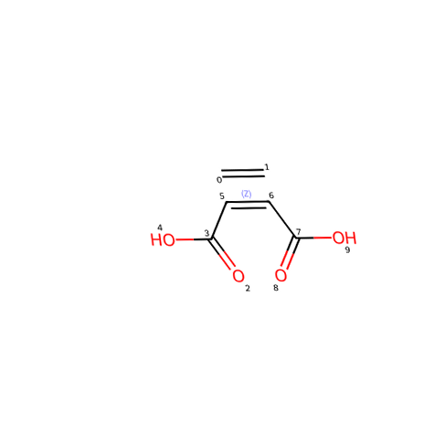 C=C.O=C(O)/C=C\C(=O)O